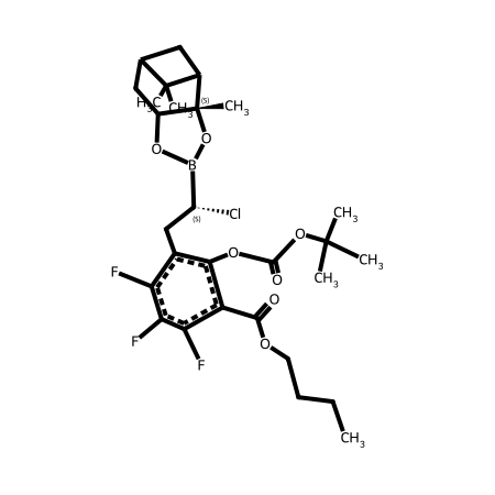 CCCCOC(=O)c1c(F)c(F)c(F)c(C[C@@H](Cl)B2OC3CC4CC(C4(C)C)[C@]3(C)O2)c1OC(=O)OC(C)(C)C